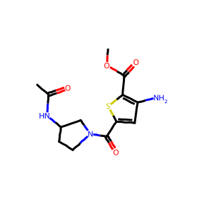 COC(=O)c1sc(C(=O)N2CCC(NC(C)=O)C2)cc1N